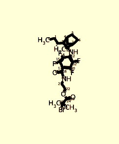 CCCC1C2CCC(C2)C1(C)Nc1c(F)c(F)c(C(=O)NCCOC(=O)C(C)(C)Br)c(F)c1F